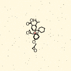 CC(C)C1=CC(OCC2CO2)(C2(c3ccc(OCC4CO4)cc3)CCCCC2)C=CC1C(=O)O